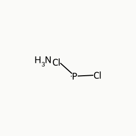 Cl[P]Cl.N